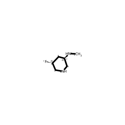 CN[C@H]1CNC[C@H](F)C1